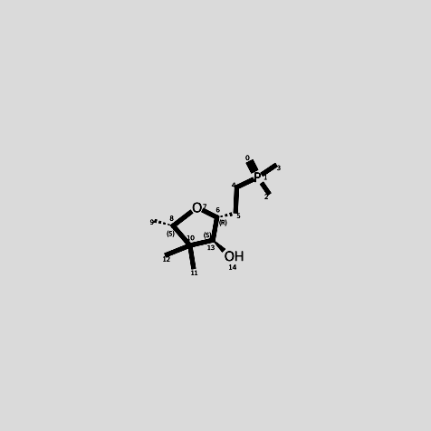 C=P(C)(C)CC[C@H]1O[C@@H](C)C(C)(C)[C@@H]1O